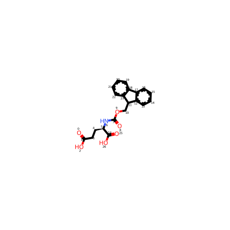 O=C(O)CC[C@@H](NC(=O)OCC1c2ccccc2-c2ccccc21)C(=O)O